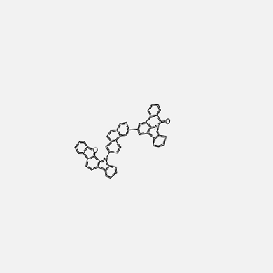 O=c1c2ccccc2c2cc(-c3ccc4ccc5cc(-n6c7ccccc7c7ccc8c9ccccc9oc8c76)ccc5c4c3)cc3c4ccccc4n1c23